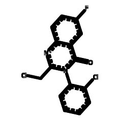 O=c1c2cc(F)ccc2nc(CCl)n1-c1ccccc1Cl